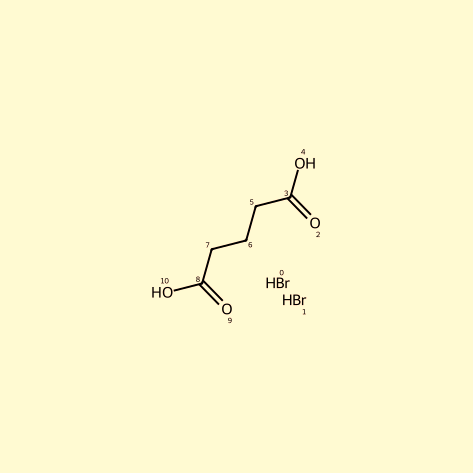 Br.Br.O=C(O)CCCC(=O)O